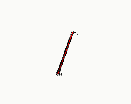 NCCOCCOCCOCCOCCOCCOCCOCCOCCOCCOCCOCCOCCOCCOCCOCCOCCOCCOCCOCCOCCOCCCCCOCCOCCOCCOCCOCCOCCOCCOCCOCCOCCOCCOCCOCCOCCC(=O)O